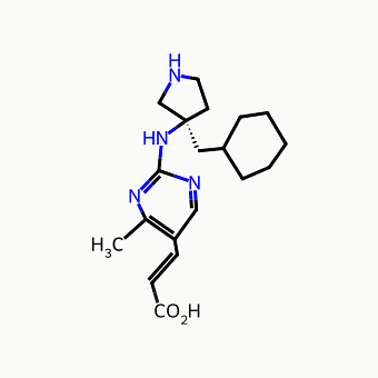 Cc1nc(N[C@]2(CC3CCCCC3)CCNC2)ncc1/C=C/C(=O)O